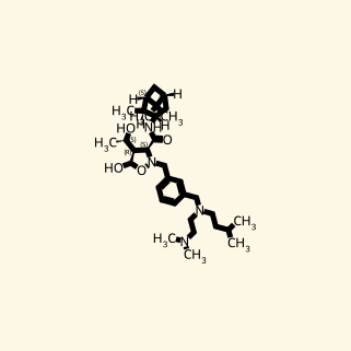 CC(C)CCN(CCN(C)C)Cc1cccc(CN2OC(O)[C@@H]([C@H](C)O)[C@H]2C(=O)N[C@H]2C[C@H]3C[C@@H]([C@@H]2C)C3(C)C)c1